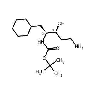 CC(C)(C)OC(=O)N[C@@H](CC1CCCCC1)[C@@H](O)CCN